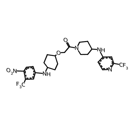 O=C(COC1CCC(Nc2ccc([N+](=O)[O-])c(C(F)(F)F)c2)CC1)N1CCC(Nc2ccnc(C(F)(F)F)c2)CC1